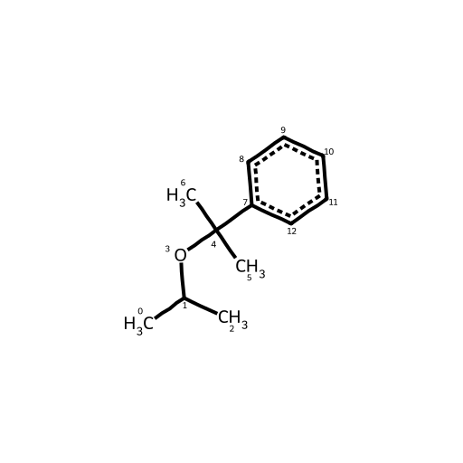 CC(C)OC(C)(C)c1ccccc1